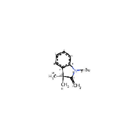 C=C1N(CCCC)c2ccccc2C1(C)C